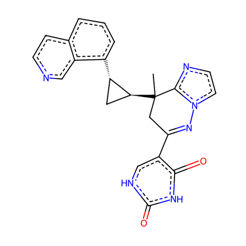 CC1([C@H]2C[C@@H]2c2cccc3ccncc23)CC(c2c[nH]c(=O)[nH]c2=O)=Nn2ccnc21